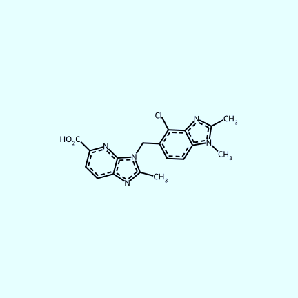 Cc1nc2c(Cl)c(Cn3c(C)nc4ccc(C(=O)O)nc43)ccc2n1C